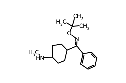 CNC1CCC(/C(=N\OC(C)(C)C)c2ccccc2)CC1